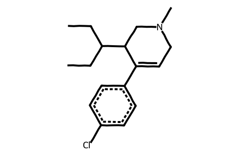 CCC(CC)C1CN(C)CC=C1c1ccc(Cl)cc1